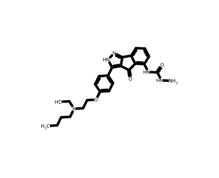 CCCCN(CO)CCOc1ccc(-c2[nH]nc3c2C(=O)c2c(NC(=O)NN)cccc2-3)cc1